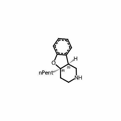 CCCCC[C@@]12CCNC[C@@H]1c1ccccc1O2